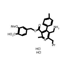 COc1cc(COC(=O)c2c(C)nc(CC(C)C)c(CN)c2-c2ccc(C)cc2)ccc1C(=O)O.Cl.Cl